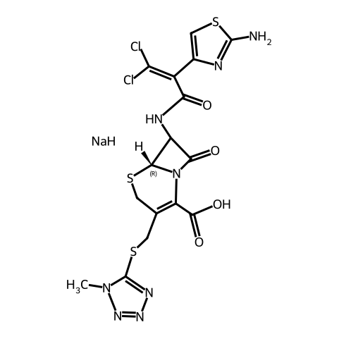 Cn1nnnc1SCC1=C(C(=O)O)N2C(=O)C(NC(=O)C(=C(Cl)Cl)c3csc(N)n3)[C@H]2SC1.[NaH]